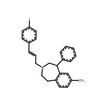 Cc1ccc2c(c1)C(c1ccccc1)CN(C/C=C/c1ccc(I)cc1)CC2